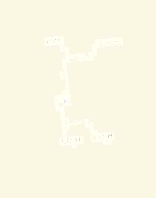 C=CCC(C/C=C/C(CC(=O)O)C(=O)O)CCCCCCCC